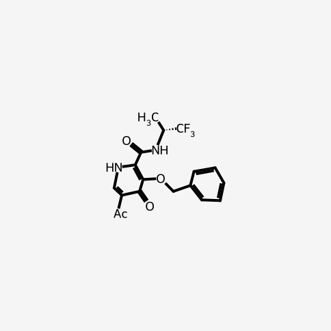 CC(=O)c1c[nH]c(C(=O)N[C@H](C)C(F)(F)F)c(OCc2ccccc2)c1=O